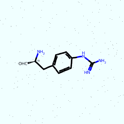 N=C(N)Nc1ccc(C[C@H](N)[C]=O)cc1